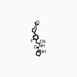 N#C[C@H](Cc1ccc(C2CCN(C3COC3)C2)cc1F)NC(=O)[C@H]1NC2CCC1C2